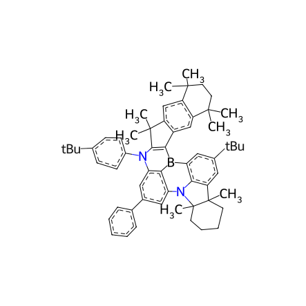 CC(C)(C)c1ccc(N2C3=C(B4c5cc(C(C)(C)C)cc6c5N(c5cc(-c7ccccc7)cc2c54)C2(C)CCCCC62C)c2cc4c(cc2C3(C)C)C(C)(C)CCC4(C)C)cc1